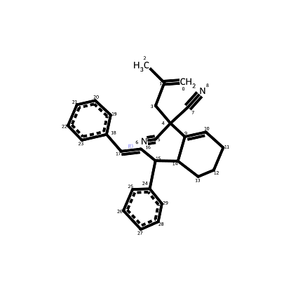 C=C(C)CC(C#N)(C#N)C1=CCCCC1C(/C=C/c1ccccc1)c1ccccc1